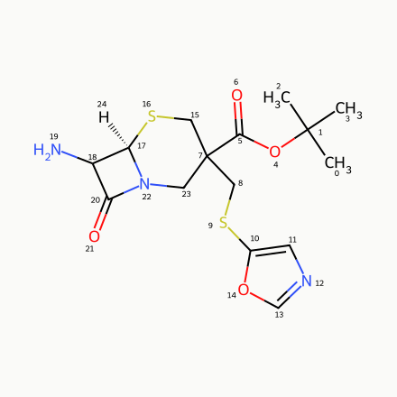 CC(C)(C)OC(=O)C1(CSc2cnco2)CS[C@@H]2C(N)C(=O)N2C1